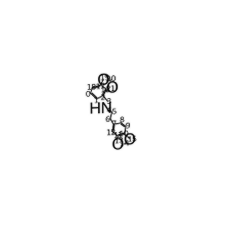 c1cc(CNCCc2ccc3c(c2)OCO3)c2c(c1)OCO2